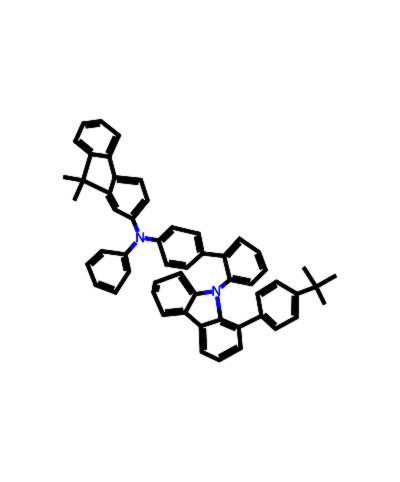 CC(C)(C)c1ccc(-c2cccc3c4ccccc4n(-c4ccccc4-c4ccc(N(c5ccccc5)c5ccc6c(c5)C(C)(C)c5ccccc5-6)cc4)c23)cc1